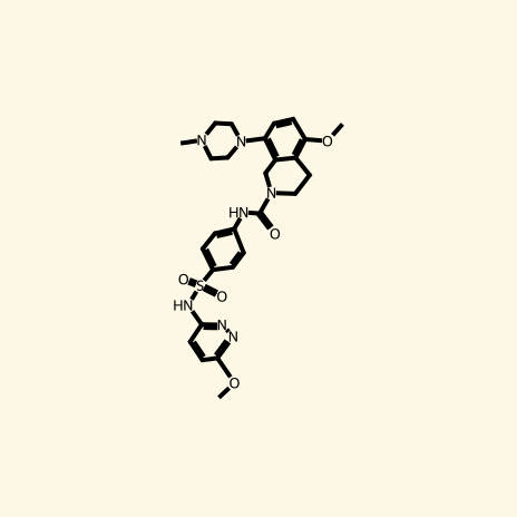 COc1ccc(NS(=O)(=O)c2ccc(NC(=O)N3CCc4c(OC)ccc(N5CCN(C)CC5)c4C3)cc2)nn1